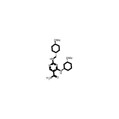 CO[C@@H]1CCC[C@@H](Nc2nc(NC[C@H]3CC[C@H](OC)CC3)ncc2C(N)=O)C1